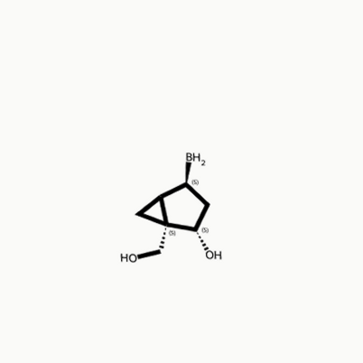 B[C@H]1C[C@H](O)[C@@]2(CO)CC12